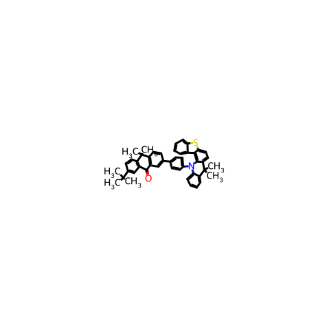 CC(C)(C)c1ccc2c(c1)C(=O)c1cc(-c3ccc(N4c5ccccc5C(C)(C)c5ccc6sc7ccccc7c6c54)cc3)ccc1C2(C)C